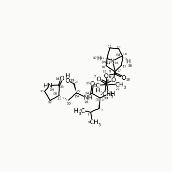 CC(C)C[C@H](NC(=O)OC1C[C@H]2CC[C@@H](C1)N2C(=O)OC(C)(C)C)C(=O)N[C@H](CO)C[C@@H]1CCNC1=O